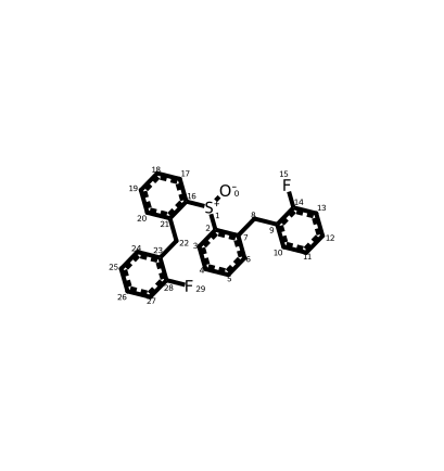 [O-][S+](c1ccccc1Cc1ccccc1F)c1ccccc1Cc1ccccc1F